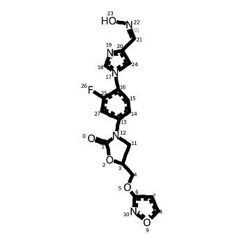 O=C1OC(COc2ccon2)CN1c1ccc(-n2cnc(/C=N\O)c2)c(F)c1